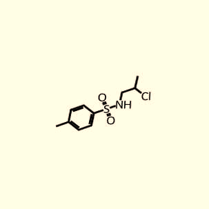 Cc1ccc(S(=O)(=O)NCC(C)Cl)cc1